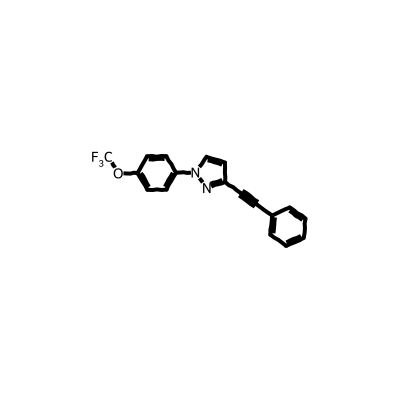 FC(F)(F)Oc1ccc(-n2ccc(C#Cc3ccccc3)n2)cc1